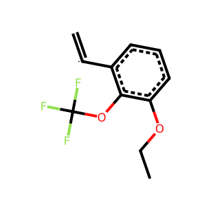 C=[C]c1cccc(OCC)c1OC(F)(F)F